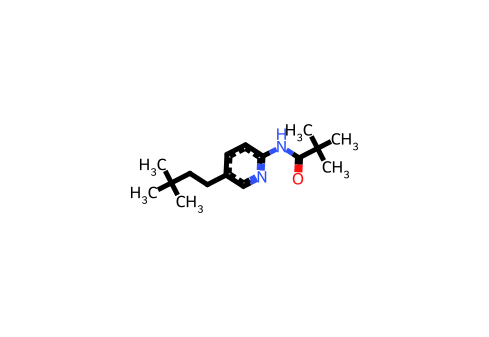 CC(C)(C)CCc1ccc(NC(=O)C(C)(C)C)nc1